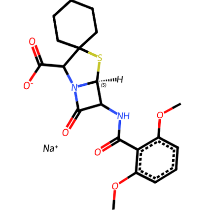 COc1cccc(OC)c1C(=O)NC1C(=O)N2C(C(=O)[O-])C3(CCCCC3)S[C@@H]12.[Na+]